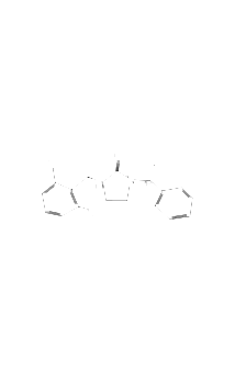 CC[C@H](c1ccccc1)N1CC[C@@H](Cc2c(Cl)cccc2Cl)C1=O